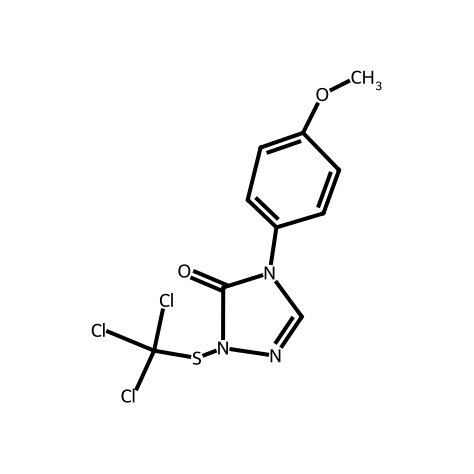 COc1ccc(-n2cnn(SC(Cl)(Cl)Cl)c2=O)cc1